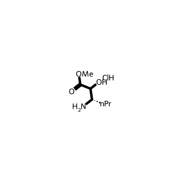 CCC[C@H](N)C(O)C(=O)OC.Cl